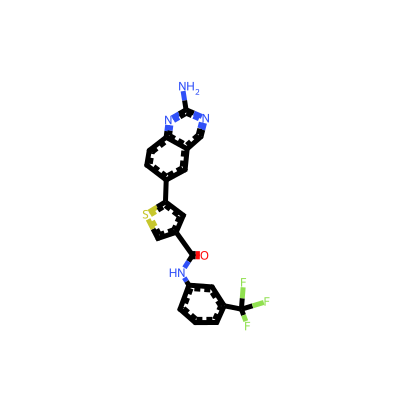 Nc1ncc2cc(-c3cc(C(=O)Nc4cccc(C(F)(F)F)c4)cs3)ccc2n1